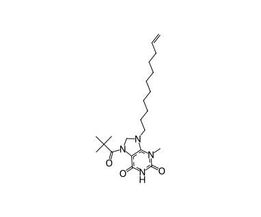 C=CCCCCCCCCCN1CN(C(=O)C(C)(C)C)c2c1n(C)c(=O)[nH]c2=O